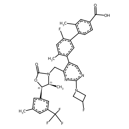 Cc1cc([C@H]2OC(=O)N(Cc3nc(N4CC(F)C4)ncc3-c3cc(-c4ccc(C(=O)O)cc4C)c(F)cc3C)[C@H]2C)cc(C(F)(F)F)c1